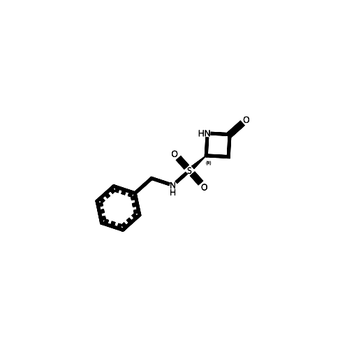 O=C1C[C@@H](S(=O)(=O)NCc2ccccc2)N1